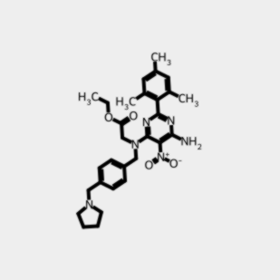 CCOC(=O)CN(Cc1ccc(CN2CCCC2)cc1)c1nc(-c2c(C)cc(C)cc2C)nc(N)c1[N+](=O)[O-]